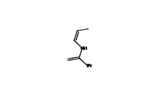 C=C(N/C=C\C)C(C)C